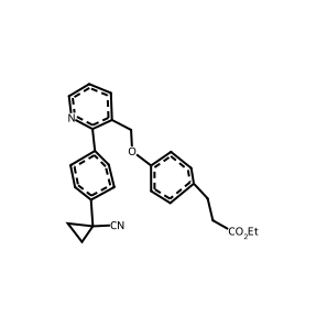 CCOC(=O)CCc1ccc(OCc2cccnc2-c2ccc(C3(C#N)CC3)cc2)cc1